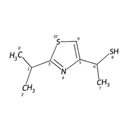 CC(C)c1nc(C(C)S)cs1